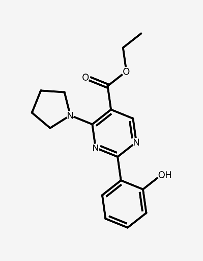 CCOC(=O)c1cnc(-c2ccccc2O)nc1N1CCCC1